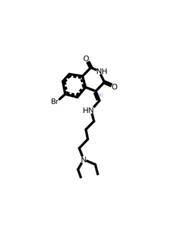 CCN(CC)CCCCN/C=C1/C(=O)NC(=O)c2ccc(Br)cc21